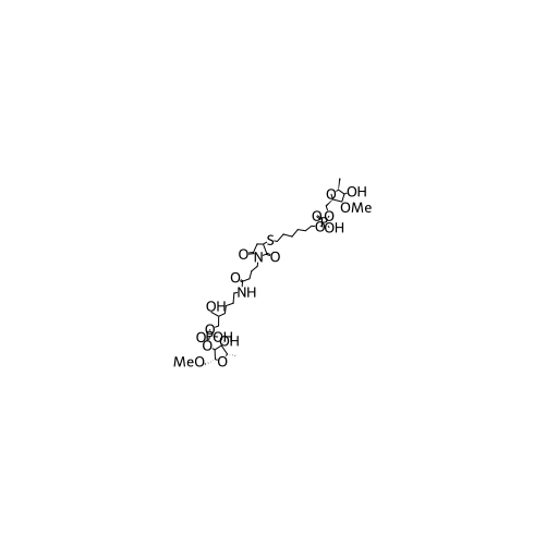 COC[C@H]1O[C@@H](C)[C@@H](O)C1OP(=O)(O)OCC(CO)CCCCNC(=O)CCCN1C(=O)CC(SCCCCCCOP(=O)(O)OC[C@H]2O[C@@H](C)[C@@H](O)C2OC)C1=O